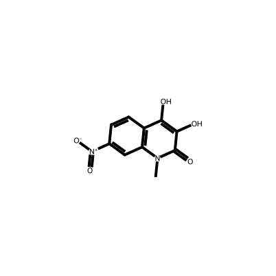 Cn1c(=O)c(O)c(O)c2ccc([N+](=O)[O-])cc21